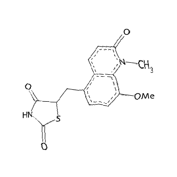 COc1ccc(CC2SC(=O)NC2=O)c2ccc(=O)n(C)c12